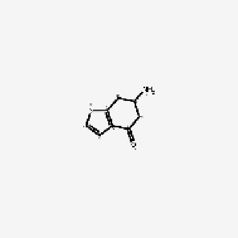 NC1CC(=O)c2ccsc2C1